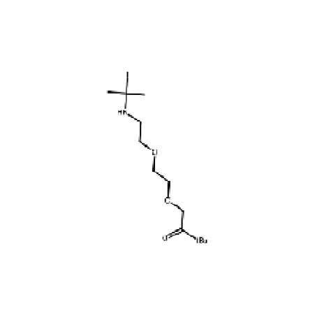 CC(C)(I)NCCOCCOCC(=O)C(C)(C)C